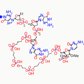 CC[C@H]1O[C@@H](n2cnc3c(=O)[nH]c(N)nc32)C[C@H]1OP(O)(=S)OC[C@H]1O[C@@H](n2cnc3c(=O)[nH]c(N)nc32)CC1OP(O)(=S)OC[C@H]1O[C@@H](n2cnc3c(=O)[nH]c(N)nc32)C[C@H]1OP(=O)(O)OCCCOP(=O)(O)OCCCOP(=O)(O)OCCCOP(=O)(O)OCCCOP(=O)(O)OCCCOP(=O)(O)OC[C@H]1O[C@@H](n2ccc(N)nc2=O)[C@@H](OC)C1OP(O)(=S)OC